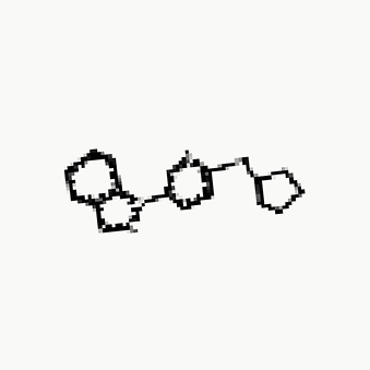 c1ccc2c(c1)cnn2-c1ccc(NC2CCCC2)nc1